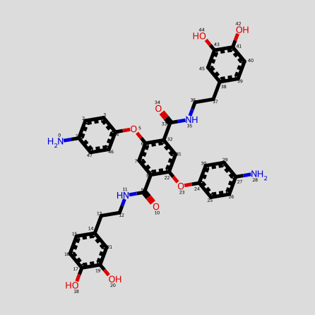 Nc1ccc(Oc2cc(C(=O)NCCc3ccc(O)c(O)c3)c(Oc3ccc(N)cc3)cc2C(=O)NCCc2ccc(O)c(O)c2)cc1